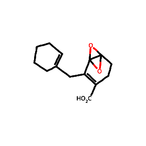 O=C(O)C1=C(CC2=CCCCC2)C23OC2(CC1)O3